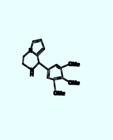 COc1cc(C2NCCn3cccc32)cc(OC)c1OC